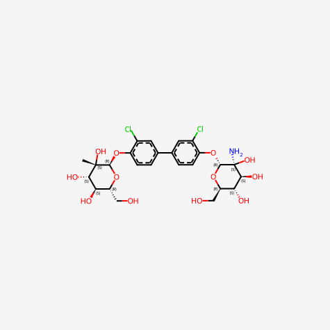 C[C@@]1(O)[C@@H](Oc2ccc(-c3ccc(O[C@H]4O[C@H](CO)[C@@H](O)[C@H](O)[C@]4(N)O)c(Cl)c3)cc2Cl)O[C@H](CO)[C@@H](O)[C@@H]1O